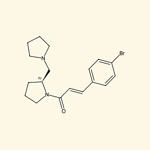 O=C(C=Cc1ccc(Br)cc1)N1CCC[C@H]1CN1CCCC1